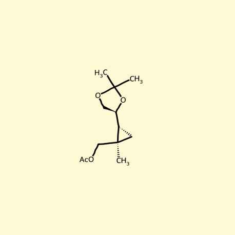 CC(=O)OC[C@]1(C)C[C@H]1[C@H]1COC(C)(C)O1